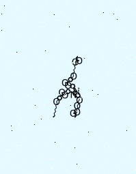 C=CCCCCCCOc1ccc(C(=O)Oc2cccc(-c3nc4cc(OCCOCCOC(=O)C=C)ccc4nc3-c3cccc(OC(=O)c4ccc(OCCCCCCOC(=O)C=C)cc4)c3)c2)cc1